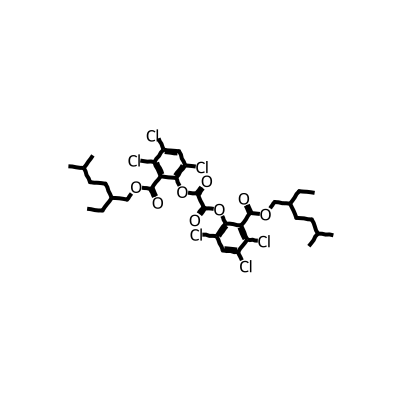 CCC(CCC(C)C)COC(=O)c1c(Cl)c(Cl)cc(Cl)c1OC(=O)C(=O)Oc1c(Cl)cc(Cl)c(Cl)c1C(=O)OCC(CC)CCC(C)C